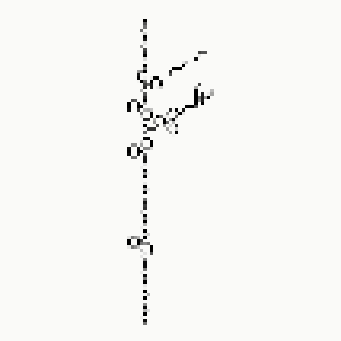 CCCCCCCCCCOC(=O)CCCCCCCCCCCC(=O)OC[C@@H](COC(=O)CCC(OCCCCCCCC)OCCCCCCCC)COC(=O)OCCCN(CC)CC